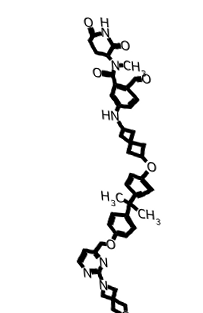 CN(C(=O)c1cc(NC2CC3(C2)CC(Oc2ccc(C(C)(C)c4ccc(OCc5ccnc(N6CC7(COC7)C6)n5)cc4)cc2)C3)ccc1C=O)C1CCC(=O)NC1=O